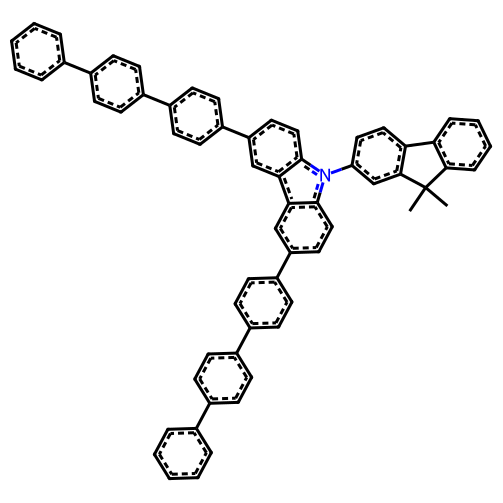 CC1(C)c2ccccc2-c2ccc(-n3c4ccc(-c5ccc(-c6ccc(-c7ccccc7)cc6)cc5)cc4c4cc(-c5ccc(-c6ccc(-c7ccccc7)cc6)cc5)ccc43)cc21